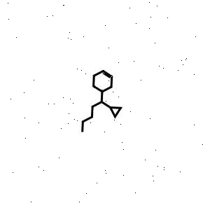 CCCCC([C]1CC=CCC1)C1CC1